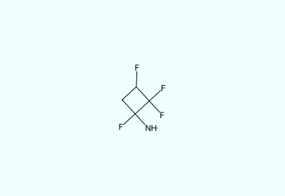 [NH]C1(F)CC(F)C1(F)F